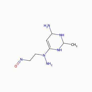 CC1NC(N(N)CCN=O)=CC(N)N1